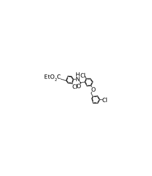 CCOC(=O)Cc1ccc(NC(=O)c2cc(OCc3cccc(Cl)c3)ccc2Cl)c(Cl)c1